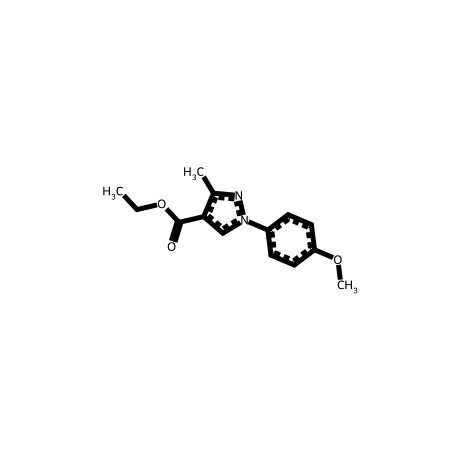 CCOC(=O)c1cn(-c2ccc(OC)cc2)nc1C